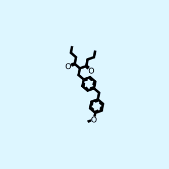 CCCC(=O)C(Cc1ccc(Cc2ccc(OC)cc2)cc1)C(=O)CCC